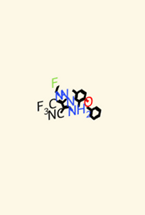 Cc1ccc(OCc2ccccc2)c(C)c1-n1c(N)c(C#N)c2c(C(F)(F)F)n(CCF)nc21